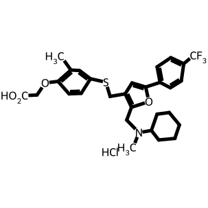 Cc1cc(SCc2cc(-c3ccc(C(F)(F)F)cc3)oc2CN(C)C2CCCCC2)ccc1OCC(=O)O.Cl